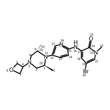 C[C@H]1CN(C2COC2)C[C@H](C)N1c1ccc(Nc2cc(Br)cn(C)c2=O)nc1